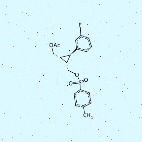 CC(=O)OC[C@H]1[C@@H](COS(=O)(=O)c2ccc(C)cc2)[C@@H]1c1cccc(F)c1